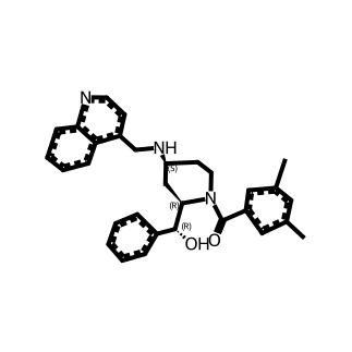 Cc1cc(C)cc(C(=O)N2CC[C@H](NCc3ccnc4ccccc34)C[C@@H]2[C@H](O)c2ccccc2)c1